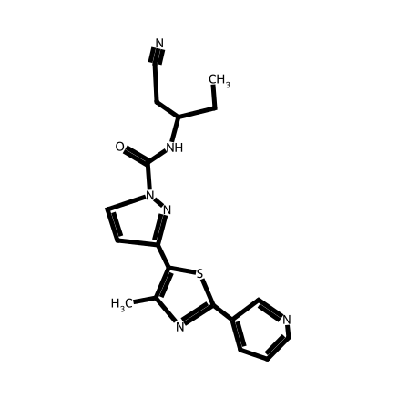 CCC(CC#N)NC(=O)n1ccc(-c2sc(-c3cccnc3)nc2C)n1